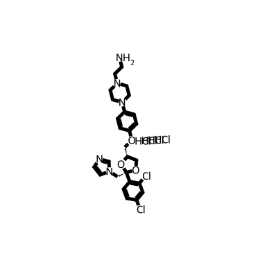 Cl.Cl.Cl.Cl.NCCN1CCN(c2ccc(OC[C@@H]3CO[C@@](Cn4ccnc4)(c4ccc(Cl)cc4Cl)O3)cc2)CC1